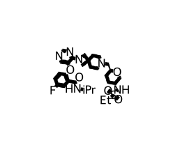 CCS(=O)(=O)N[C@@H]1CC[C@@H](CN2CCC3(CC2)CN(c2ncncc2Oc2ccc(F)cc2C(=O)NC(C)C)C3)OC1